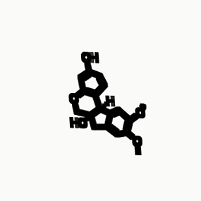 COc1cc2c(cc1OC)[C@@H]1c3ccc(O)cc3OC[C@]1(O)C2